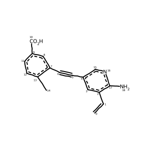 C=Cc1cc(C#Cc2cc(C(=O)O)ccc2C)cnc1N